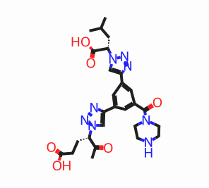 CC(=O)[C@H](CCC(=O)O)n1cc(-c2cc(C(=O)N3CCNCC3)cc(-c3cn([C@@H](CC(C)C)C(=O)O)nn3)c2)nn1